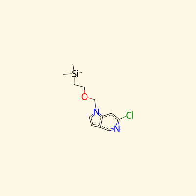 C[Si](C)(C)CCOCn1ccc2cnc(Cl)cc21